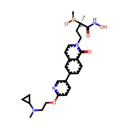 CN(CCOc1ccc(-c2ccc3c(=O)n(CC[C@](C)(C(=O)NO)[S+](C)[O-])ccc3c2)cn1)C1CC1